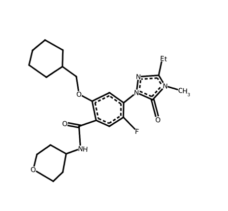 CCc1nn(-c2cc(OCC3CCCCC3)c(C(=O)NC3CCOCC3)cc2F)c(=O)n1C